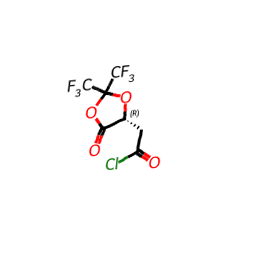 O=C(Cl)C[C@H]1OC(C(F)(F)F)(C(F)(F)F)OC1=O